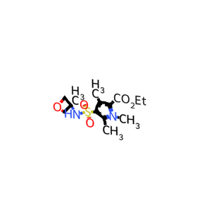 CCOC(=O)c1c(C)c(S(=O)(=O)NC2(C)COC2)c(C)n1C